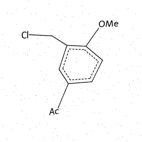 COc1ccc(C(C)=O)cc1CCl